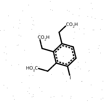 O=C(O)Cc1ccc(I)c(CC(=O)O)c1CC(=O)O